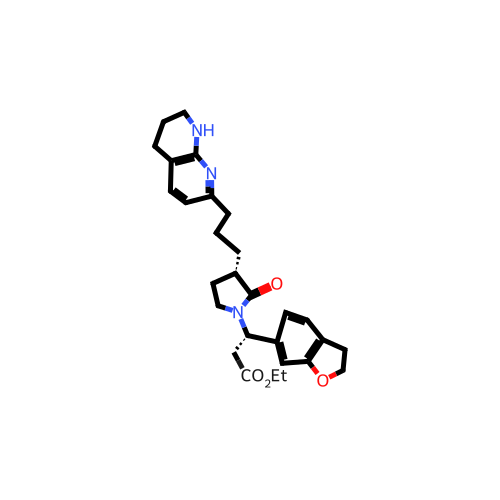 CCOC(=O)C[C@@H](c1ccc2c(c1)OCC2)N1CC[C@H](CCCc2ccc3c(n2)NCCC3)C1=O